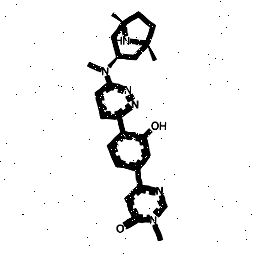 CN(c1ccc(-c2ccc(-c3cc(=O)n(C)cn3)cc2O)nn1)[C@H]1C[C@]2(C)CC[C@](C)(C1)N2